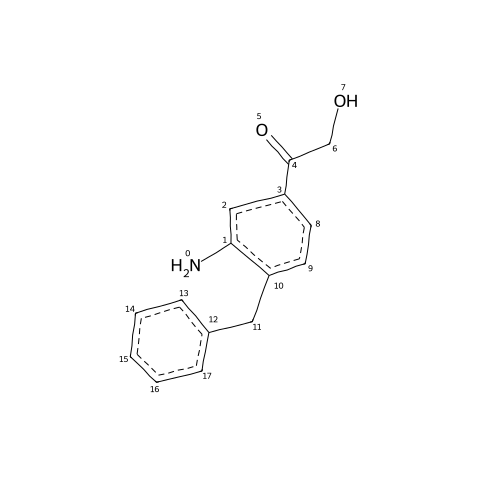 Nc1cc(C(=O)CO)ccc1Cc1ccccc1